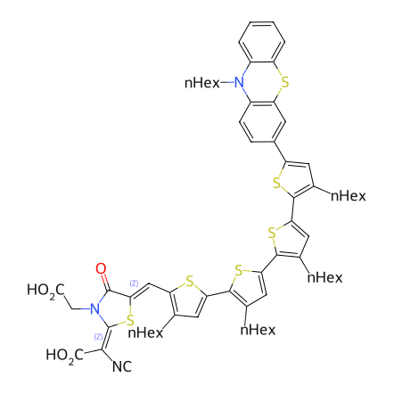 [C-]#[N+]/C(C(=O)O)=c1\s/c(=C\c2sc(-c3sc(-c4sc(-c5sc(-c6ccc7c(c6)Sc6ccccc6N7CCCCCC)cc5CCCCCC)cc4CCCCCC)cc3CCCCCC)cc2CCCCCC)c(=O)n1CC(=O)O